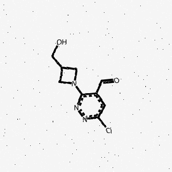 O=Cc1cc(Cl)nnc1N1CC(CO)C1